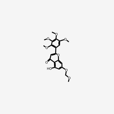 COCOc1cc(O)c2c(=O)cc(-c3cc(OC)c(OC)c(OC)c3OC)oc2c1